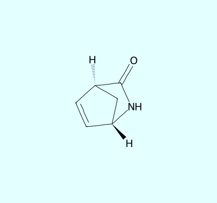 O=C1N[C@@H]2C=C[C@@H]1C2